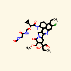 CCc1c(F)cc2nc3c(c4c2c1CCC4NC(=O)C(OCNC(=O)CNC=O)C1CC1)Cn1c-3cc([C@](O)(C=O)CC)c(COC)c1=O